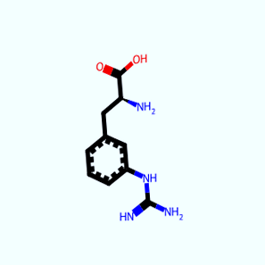 N=C(N)Nc1cccc(C[C@H](N)C(=O)O)c1